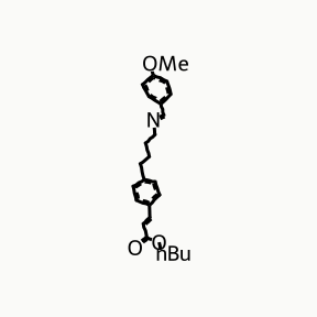 CCCCOC(=O)C=Cc1ccc(CCCCN=Cc2ccc(OC)cc2)cc1